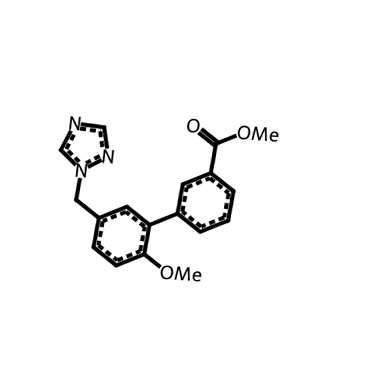 COC(=O)c1cccc(-c2cc(Cn3cncn3)ccc2OC)c1